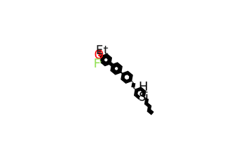 C=CCCC[Si@H]1CC[C@H](CC[C@H]2CC[C@H](c3ccc(-c4ccc(OCC)c(F)c4)cc3)CC2)CC1